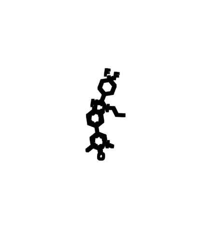 CCCn1c(C2CCC(F)(F)CC2)nc2ccc(-c3cc(C)c(=O)n(C)c3)cc21